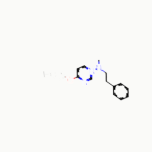 CN(CCc1ccccc1)[n+]1ccc(OS(=O)(=O)O)nc1